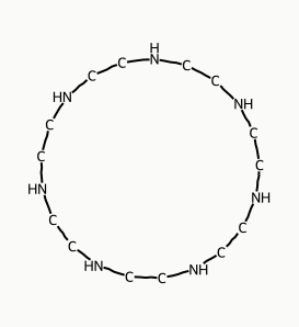 C1CNCCNCCNCCNCCNCCNCCN1